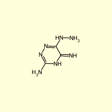 N=c1[nH]c(N)nnc1NN